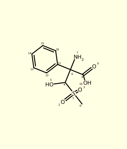 CS(=O)(=O)C(O)C(N)(C(=O)O)c1ccccc1